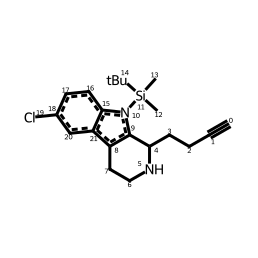 C#CCCC1NCCc2c1n([Si](C)(C)C(C)(C)C)c1ccc(Cl)cc21